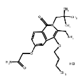 CCCCOc1c(CN)n(CC(C)(C)C)c(=O)c2ccc(OCC(N)=O)cc12.Cl